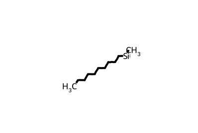 CCCCCCCCCC[Si]C